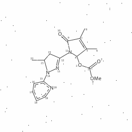 COC(=O)OC1C(C)=C(C)C(=O)N1C1=NN(c2ccccn2)C(C)C1